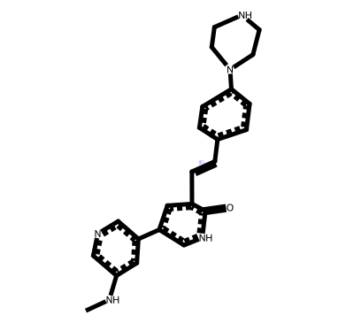 CNc1cncc(-c2c[nH]c(=O)c(/C=C/c3ccc(N4CCNCC4)cc3)c2)c1